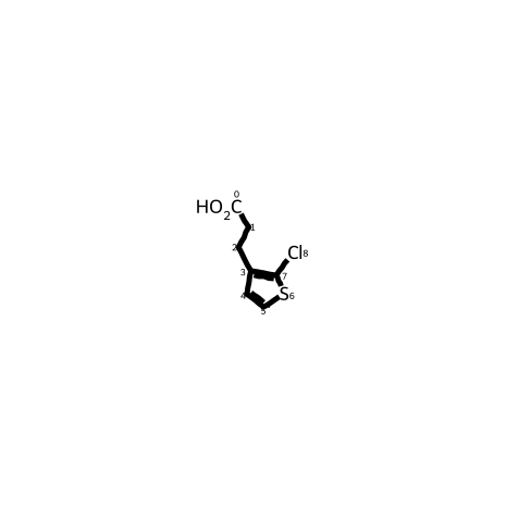 O=C(O)CCc1c[c]sc1Cl